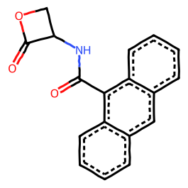 O=C(NC1COC1=O)c1c2ccccc2cc2ccccc12